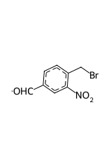 O=[C]c1ccc(CBr)c([N+](=O)[O-])c1